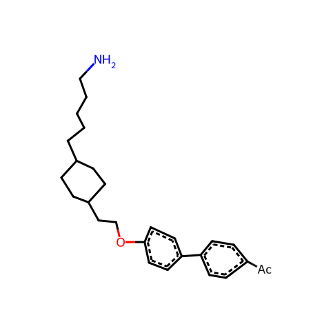 CC(=O)c1ccc(-c2ccc(OCCC3CCC(CCCCCN)CC3)cc2)cc1